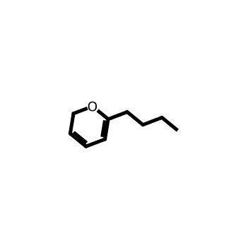 CCCCC1=CC=CCO1